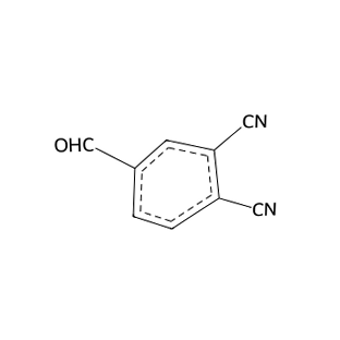 N#Cc1ccc(C=O)cc1C#N